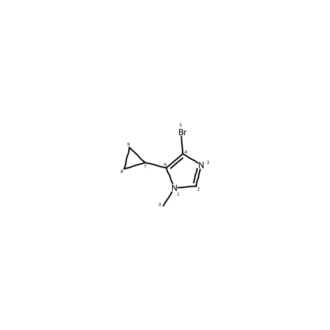 Cn1cnc(Br)c1C1CC1